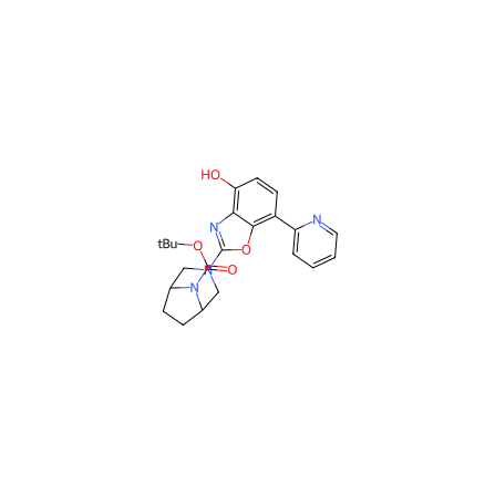 CC(C)(C)OC(=O)N1C2CCC1CN(c1nc3c(O)ccc(-c4ccccn4)c3o1)C2